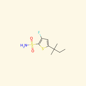 CCC(C)(C)c1cc(F)c(S(N)(=O)=O)s1